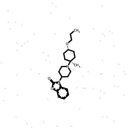 CCCO[C@H]1CC[C@](C)(N2CCC(n3c(=O)oc4ccccc43)CC2)CC1